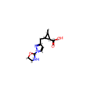 CC1C(Cc2ccn(C3NCCO3)n2)C1C(=O)O